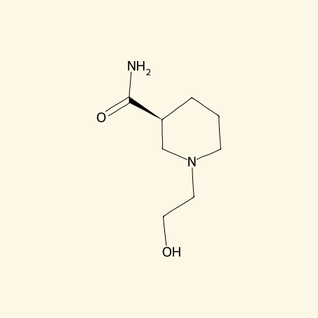 NC(=O)[C@H]1CCCN(CCO)C1